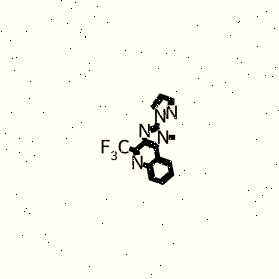 Cn1c(-n2cccn2)nc2c(C(F)(F)F)nc3ccccc3c21